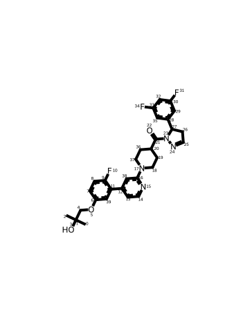 CC(C)(O)COc1ccc(F)c(-c2ccnc(N3CCC(C(=O)N4N=CCC4c4cc(F)cc(F)c4)CC3)c2)c1